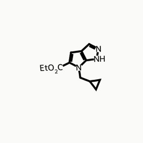 CCOC(=O)c1cc2cn[nH]c2n1CC1CC1